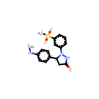 CS(=O)(=O)c1cccc(N2NC(=O)CC2c2ccc(NC=O)cc2)c1